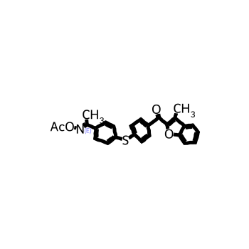 CC(=O)O/N=C(\C)c1ccc(Sc2ccc(C(=O)c3oc4ccccc4c3C)cc2)cc1